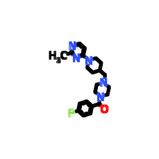 Cc1nccc(N2CCC(CN3CCN(C(=O)c4ccc(F)cc4)CC3)CC2)n1